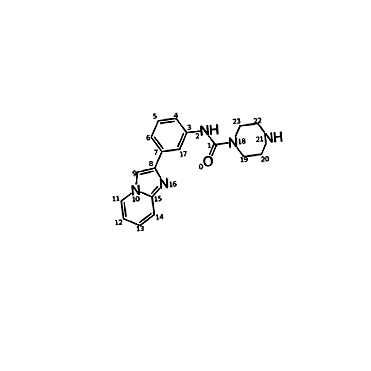 O=C(Nc1cccc(-c2cn3ccccc3n2)c1)N1CCNCC1